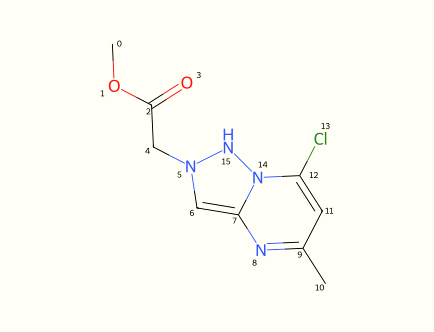 COC(=O)CN1C=C2N=C(C)C=C(Cl)N2N1